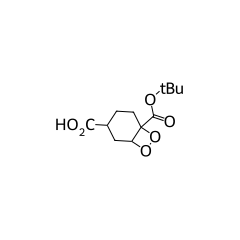 CC(C)(C)OC(=O)C12CCC(C(=O)O)CC1OO2